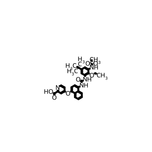 CCOc1c(NC(=O)Nc2ccc(Oc3ccnc(C(=O)O)c3)c3ccccc23)cc(C(C)(C)C)cc1NS(C)(=O)=O